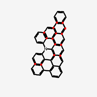 c1ccc(-c2cccc3cccc(-c4ccccc4N(c4ccccc4-c4cccc5ccccc45)c4ccccc4-c4cccc5c4ccc4ccccc45)c23)cc1